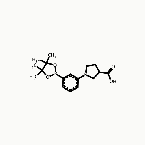 CC1(C)OB(c2cccc(N3CCC(C(=O)O)C3)c2)OC1(C)C